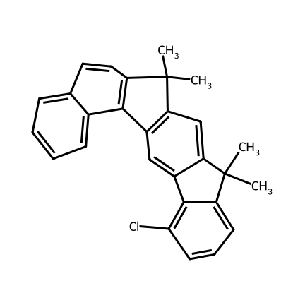 CC1(C)c2cc3c(cc2-c2c(Cl)cccc21)-c1c(ccc2ccccc12)C3(C)C